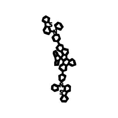 c1ccc(N(c2ccc(-c3ccc4c5c(ccc4c3)-c3c(c4ccc(-c6ccc(N(c7ccccc7)c7cccc8c7sc7ccccc78)cc6)cc4c4ccccc34)C53c4ccccc4-c4ccccc43)cc2)c2cccc3c2sc2ccccc23)cc1